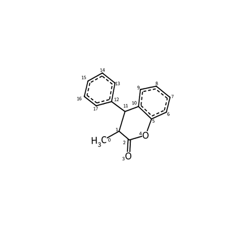 CC1C(=O)Oc2ccccc2C1c1ccccc1